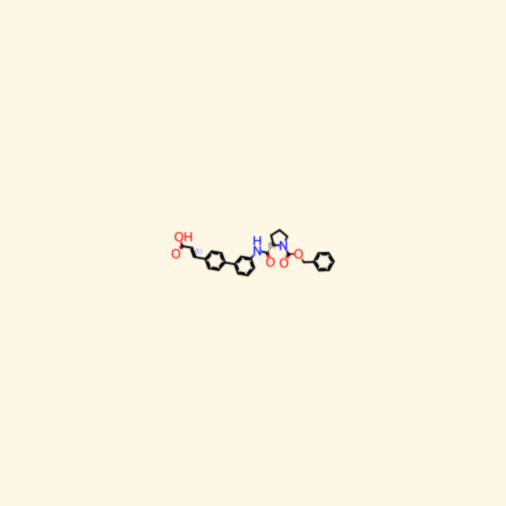 O=C(O)/C=C/c1ccc(-c2cccc(NC(=O)[C@@H]3CCCN3C(=O)OCc3ccccc3)c2)cc1